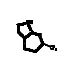 FC(F)(F)c1ccc2c[c][nH]c2n1